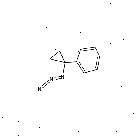 [N-]=[N+]=NC1(c2ccccc2)CC1